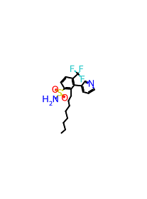 CCCCCCCCc1c(S(N)(=O)=O)ccc(C(F)(F)F)c1-c1cccnc1